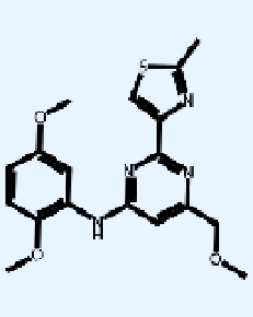 COCc1cc(Nc2cc(OC)ccc2OC)nc(-c2csc(C)n2)n1